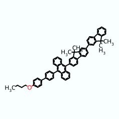 CCCCOc1ccc(-c2ccc(-c3c4ccccc4c(-c4ccc5c(c4)C(C)(C)c4cc(-c6ccc7c(c6)C(C)(C)c6ccccc6-7)ccc4-5)c4ccccc34)cc2)cc1